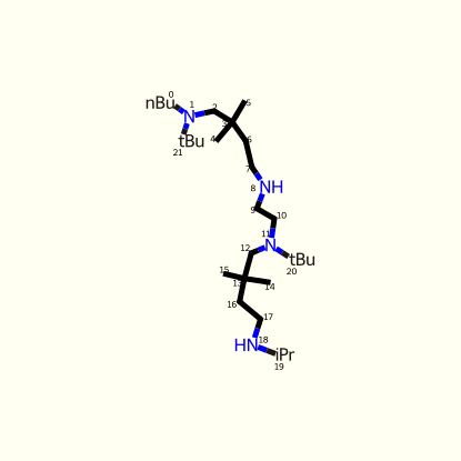 CCCCN(CC(C)(C)CCNCCN(CC(C)(C)CCNC(C)C)C(C)(C)C)C(C)(C)C